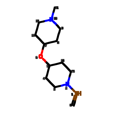 C=[SH]N1CCC(OC2CCN(C)CC2)CC1